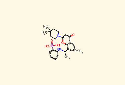 Cc1cc([C@@H](C)Nc2ccccc2P(=O)(O)O)c2oc(N3CCC(C)(C)CC3)cc(=O)c2c1